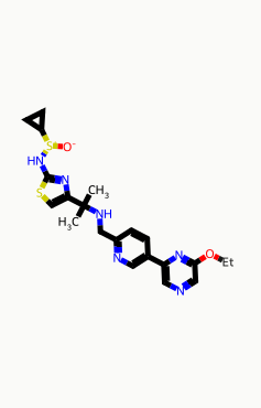 CCOc1cncc(-c2ccc(CNC(C)(C)c3csc(N[S+]([O-])C4CC4)n3)nc2)n1